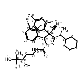 CC(C1CCCCC1)[C@H]1N[C@H](C(=O)NCC[C@H](O)C(C)(C)O)[C@@H](c2cccc(Cl)c2F)[C@]1(C#N)c1ccc(Cl)cc1F